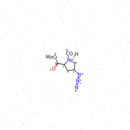 COC(=O)C1CC(N=[N+]=[N-])CN1C(=O)O